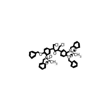 CS(=O)(=O)N(Cc1ccccc1)c1cc(C(CCl)C(=O)C(CCl)c2ccc(OCc3ccccc3)c(N(Cc3ccccc3)S(C)(=O)=O)c2)ccc1OCc1ccccc1